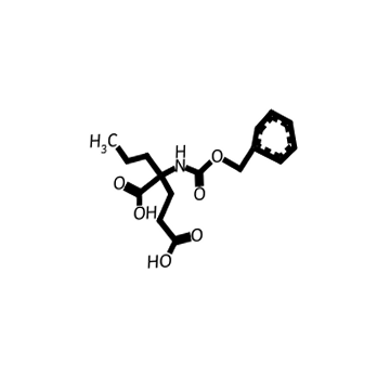 CCCC(CCC(=O)O)(NC(=O)OCc1ccccc1)C(=O)O